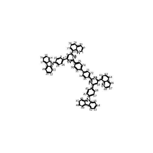 c1cnc2c(-c3cc(-c4ccc(-n5c6ccccc6c6ccccc65)cc4)nc(-c4ccc(-c5ccc(-c6nc(-c7ccc(-n8c9ccccc9c9ccccc98)cc7)cc(-c7cccc8cccnc78)n6)cc5)cc4)n3)cccc2c1